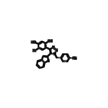 CCc1cc(-c2nnn(Cc3ccc(C#N)cc3)c2-c2cc3ccccc3s2)c(O)cc1O